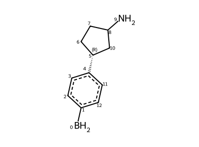 Bc1ccc([C@@H]2CCC(N)C2)cc1